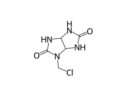 O=C1NC2NC(=O)N(CCl)C2N1